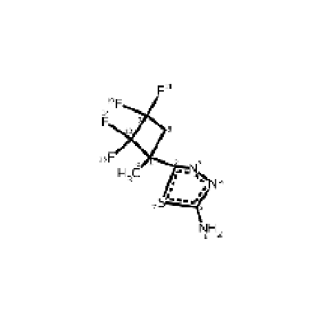 CC1(c2nnc(N)s2)CC(F)(F)C1(F)F